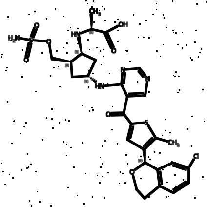 Cc1sc(C(=O)c2cncnc2N[C@@H]2C[C@@H](COS(N)(=O)=O)[C@@H](N[C@@H](C)C(=O)O)C2)cc1[C@@H]1OCCc2ccc(Cl)cc21